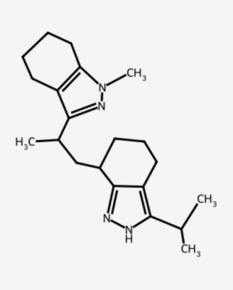 CC(C)c1[nH]nc2c1CCCC2CC(C)c1nn(C)c2c1CCCC2